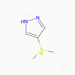 C[SH](C)c1cn[nH]c1